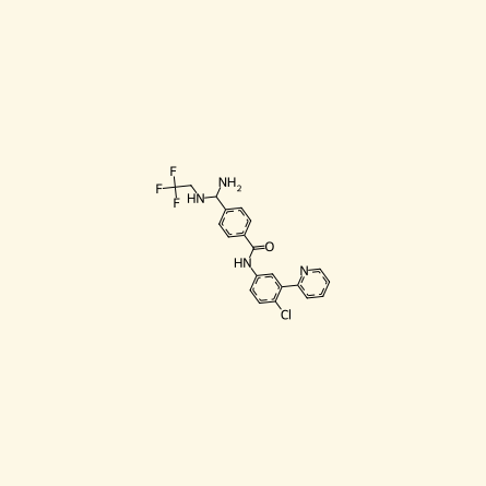 NC(NCC(F)(F)F)c1ccc(C(=O)Nc2ccc(Cl)c(-c3ccccn3)c2)cc1